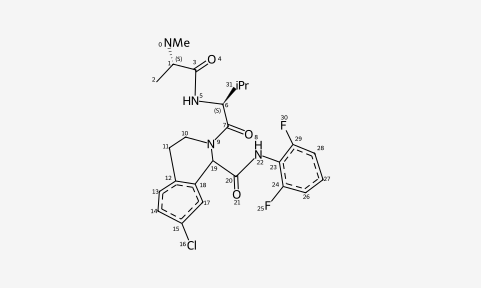 CN[C@@H](C)C(=O)N[C@H](C(=O)N1CCc2ccc(Cl)cc2C1C(=O)Nc1c(F)cccc1F)C(C)C